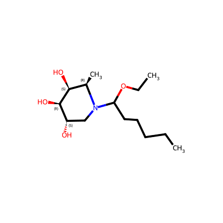 CCCCCC(OCC)N1C[C@H](O)[C@@H](O)[C@@H](O)[C@H]1C